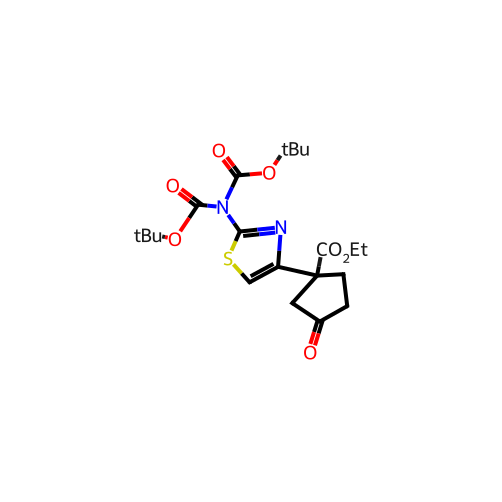 CCOC(=O)C1(c2csc(N(C(=O)OC(C)(C)C)C(=O)OC(C)(C)C)n2)CCC(=O)C1